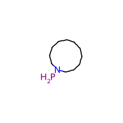 PN1CCCCCCCCCCC1